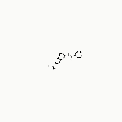 COC(=O)c1cc2cc(NC(=S)c3ccccc3)ccc2s1